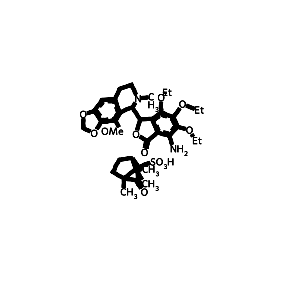 CC12CCC(C(S(=O)(=O)O)C1=O)C2(C)C.CCOc1c(N)c2c(c(OCC)c1OCC)C(C1c3c(cc4c(c3OC)OCO4)CCN1C)OC2=O